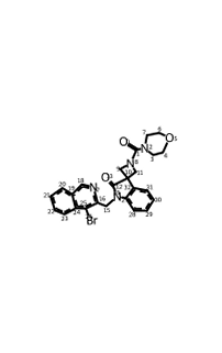 O=C(N1CCOCC1)N1CC2(C1)C(=O)N(Cc1ncc3ccccc3c1Br)c1ccccc12